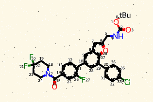 CC(C)(C)OC(=O)NCc1cc2cc(-c3ccc(C(=O)N4CCC(F)(F)CC4)cc3F)cc(-c3ccc(Cl)cc3)c2o1